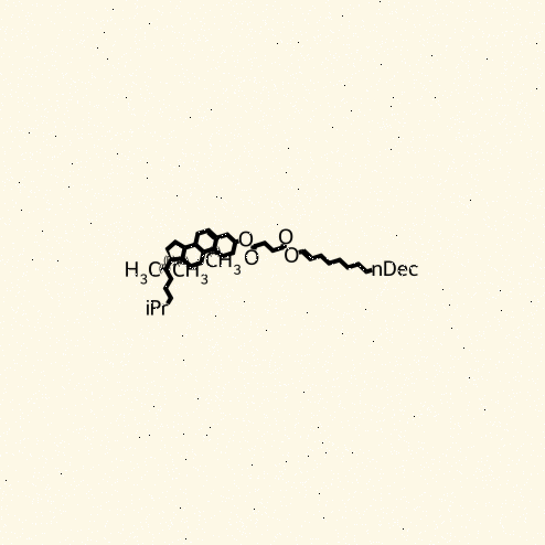 CCCCCCCCCCCCCCCCC=COC(=O)CCC(=O)OC1CC[C@@]2(C)C(=CCC3C2CC[C@@]2(C)C3CC[C@@H]2[C@H](C)CCCC(C)C)C1